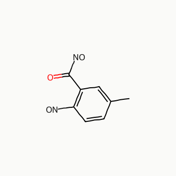 Cc1ccc(N=O)c(C(=O)N=O)c1